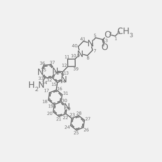 CCOC(=O)CN1CCN(C2CC(c3nc(-c4ccc5ccc(-c6ccccc6)nc5c4)c4c(N)nccn34)C2)CC1